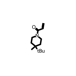 C=CC(=O)N1CCC(C)(C(C)(C)C)CC1